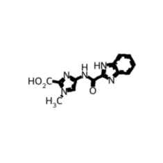 Cn1cc(NC(=O)c2nc3ccccc3[nH]2)nc1C(=O)O